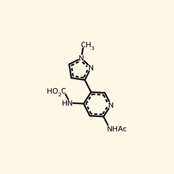 CC(=O)Nc1cc(NC(=O)O)c(-c2ccn(C)n2)cn1